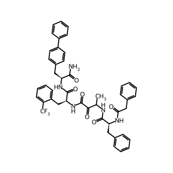 CC(NC(=O)[C@H](Cc1ccccc1)NC(=O)Cc1ccccc1)C(=O)C(=O)N[C@@H](Cc1ccccc1C(F)(F)F)C(=O)N[C@@H](Cc1ccc(-c2ccccc2)cc1)C(N)=O